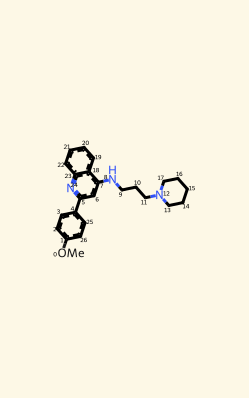 COc1ccc(-c2cc(NCCCN3CCCCC3)c3ccccc3n2)cc1